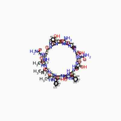 CCCC[C@H]1C(=O)N(C)[C@@H](CCCC)C(=O)N[C@@H](CC(C)C)C(=O)N[C@H](C(=O)NCC(N)=O)CSCC(=O)N[C@@H](Cc2ccc(O)cc2)C(=O)N(C)[C@@H](C)C(=O)N[C@@H](CC(N)=O)C(=O)N2CCC[C@H]2C(=O)N[C@@H](CO)C(=O)N[C@@H](CCC(N)=O)C(=O)N2C[C@H](O)C[C@H]2C(=O)N[C@@H](Cc2c[nH]c3ccccc23)C(=O)N[C@@H](CO)C(=O)N[C@@H](Cc2c[nH]c3ccccc23)C(=O)N1C